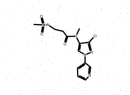 CN(C(=O)CCNS(C)(=O)=O)c1cn(-c2cccnc2)nc1Cl